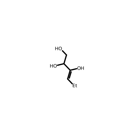 CCC=C(O)C(O)CO